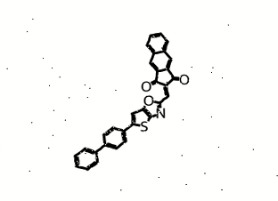 O=C1C(=Cc2nc3sc(-c4ccc(-c5ccccc5)cc4)cc3o2)C(=O)c2cc3ccccc3cc21